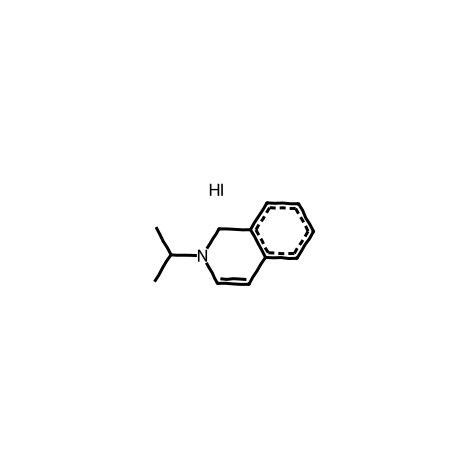 CC(C)N1C=Cc2ccccc2C1.I